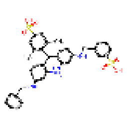 Cc1cc(S(=O)(=O)O)cc(C)c1C(c1ccc(NCc2ccccc2)cc1N)c1ccc(NCc2cccc(S(=O)(=O)O)c2)cc1N